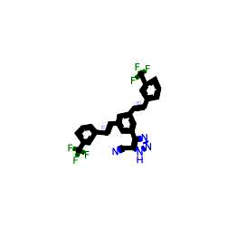 N#Cc1[nH]nnc1-c1cc(/C=C/c2cccc(C(F)(F)F)c2)cc(/C=C/c2cccc(C(F)(F)F)c2)c1